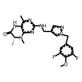 COc1c(F)cc(Cn2cc(CNc3nc(C)c4c(n3)N(C)[C@H](C)C(=O)N4)cn2)cc1F